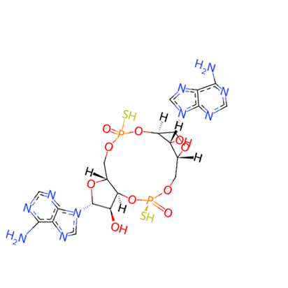 Nc1ncnc2c1ncn2[C@@H]1O[C@@H]2COP(=O)(S)O[C@@H]3[C@H](O)[C@@H](CO[P@@](=O)(S)O[C@H]2[C@H]1O)O[C@H]3n1cnc2c(N)ncnc21